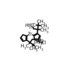 CCC(C)(C1=[C]([Zr][C]2=C(C(C)(CC)C(C)(C)C)C=CC2)CC=C1)C(C)(C)C.Cl.Cl